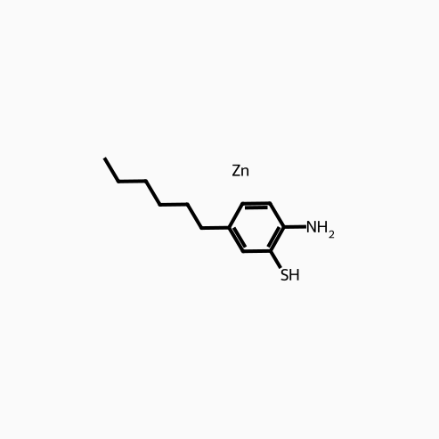 CCCCCCc1ccc(N)c(S)c1.[Zn]